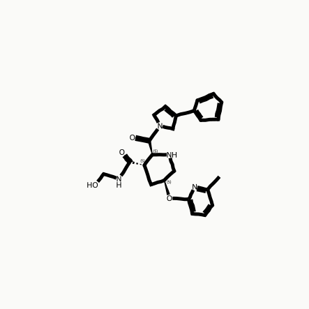 Cc1cccc(O[C@@H]2CN[C@H](C(=O)N3CC=C(c4ccccc4)C3)[C@@H](C(=O)NCO)C2)n1